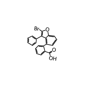 O=C(O)c1ccccc1-c1cccc2oc(Br)c(-c3ccccc3)c12